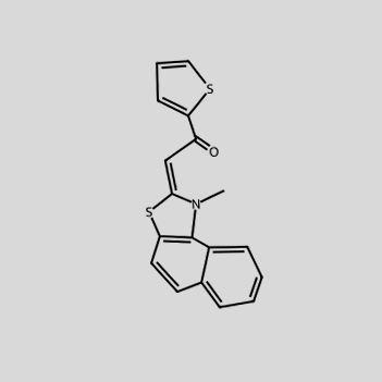 CN1C(=CC(=O)c2cccs2)Sc2ccc3ccccc3c21